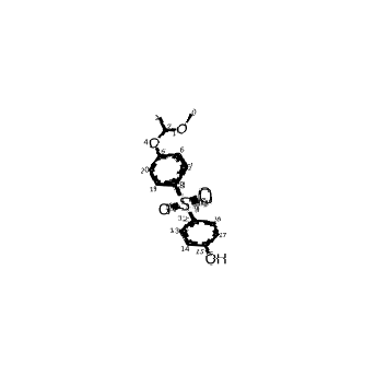 COC(C)Oc1ccc(S(=O)(=O)c2ccc(O)cc2)cc1